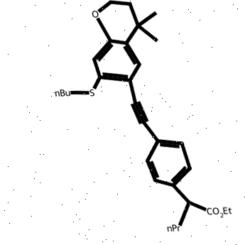 CCCCSc1cc2c(cc1C#Cc1ccc(C(CCC)C(=O)OCC)cc1)C(C)(C)CCO2